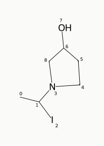 CC(I)N1CCC(O)C1